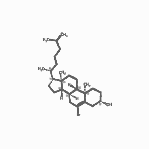 CC(C)CCC[C@@H](C)[C@H]1CC[C@H]2[C@@H]3CC(Br)=C4C[C@@H](O)CC[C@]4(C)[C@H]3CC[C@]12C